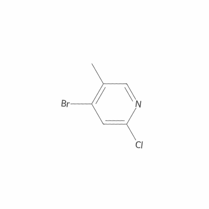 Cc1cnc(Cl)cc1Br